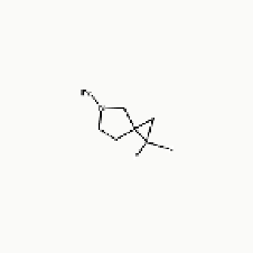 CC(C)N1CCC2(C1)CC2(F)F